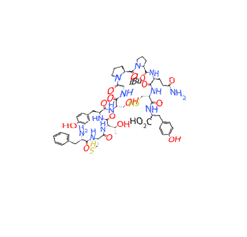 CC[C@H](C)[C@H](NC(=O)[C@H](CO)NC(=O)[C@H](Cc1ccc(O)cc1)NC(=O)[C@@H](NC(=O)[C@H](CS)NC(=O)[C@@H](N)Cc1ccccc1)[C@@H](C)O)C(=O)N1CCC[C@H]1C(=O)N1CCC[C@H]1C(=O)N[C@@H](CCC(N)=O)C(=O)N[C@@H](CS)C(=O)N[C@@H](Cc1ccc(O)cc1)C(=O)O